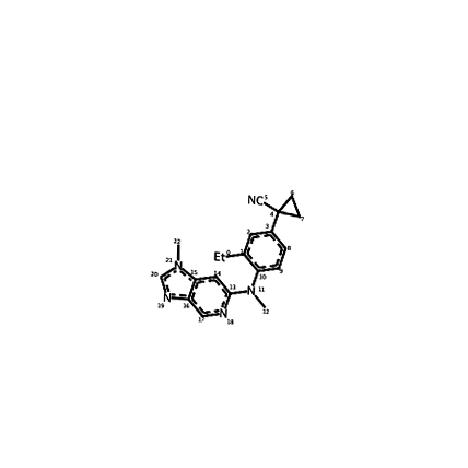 CCc1cc(C2(C#N)CC2)ccc1N(C)c1cc2c(cn1)ncn2C